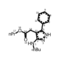 CCCCNc1n[nH]c(-c2ccccc2)c1CC(=O)OCCC